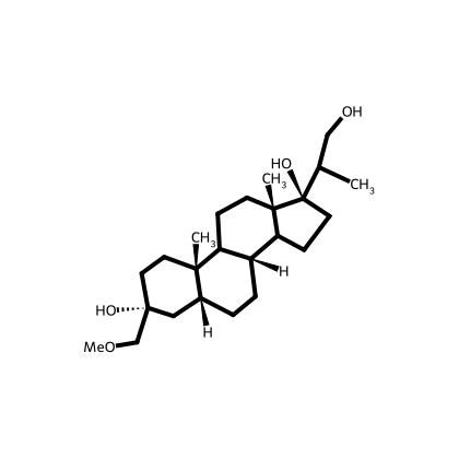 COC[C@@]1(O)CC[C@]2(C)C3CC[C@@]4(C)C(CC[C@@]4(O)C(C)CO)[C@@H]3CC[C@@H]2C1